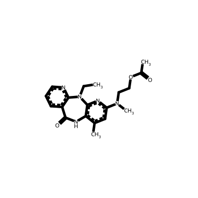 CCN1c2ncccc2C(=O)Nc2c(C)cc(N(C)CCOC(C)=O)nc21